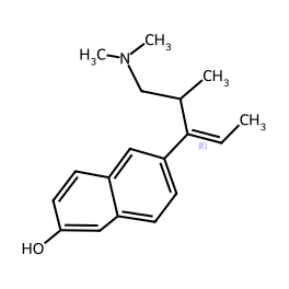 C/C=C(/c1ccc2cc(O)ccc2c1)C(C)CN(C)C